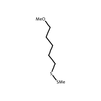 COCCCCCSSC